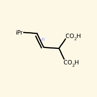 CC(C)/C=C/C(C(=O)O)C(=O)O